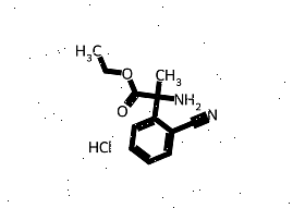 CCOC(=O)C(C)(N)c1ccccc1C#N.Cl